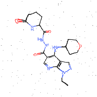 CCn1ncc2c(NC3CCOCC3)c(C(=O)NNC(=O)C3CCCC(=O)N3)cnc21